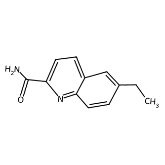 CCc1ccc2nc(C(N)=O)ccc2c1